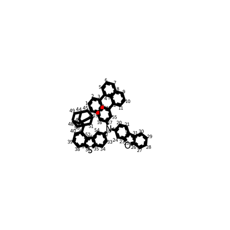 c1ccc(-c2cccc3cccc(-c4cccc(N(c5ccc6c(c5)oc5ccccc56)c5ccc6sc7cccc(C89CC%10CC(CC(C%10)C8)C9)c7c6c5)c4)c23)cc1